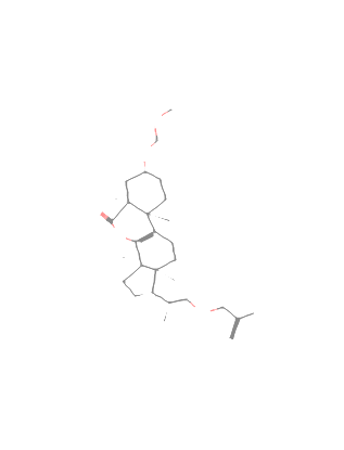 C=C(C)COC[C@@H](C)[C@H]1CC[C@H]2C3=C(CC[C@]12C)[C@@]1(C)CC[C@H](OCOC)C[C@@H]1C(=O)O3